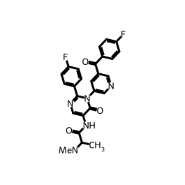 CNC(C)C(=O)Nc1cnc(-c2ccc(F)cc2)n(-c2cncc(C(=O)c3ccc(F)cc3)c2)c1=O